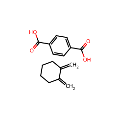 C=C1CCCCC1=C.O=C(O)c1ccc(C(=O)O)cc1